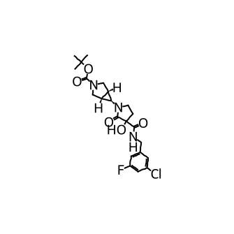 CC(C)(C)OC(=O)N1C[C@@H]2[C@H](C1)[C@H]2N1CCC(O)(C(=O)NCc2cc(F)cc(Cl)c2)C1=O